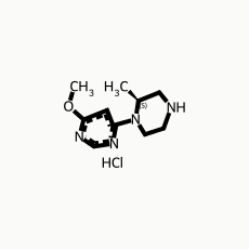 COc1cc(N2CCNC[C@@H]2C)ncn1.Cl